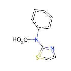 O=C(O)N(c1ccccc1)c1nccs1